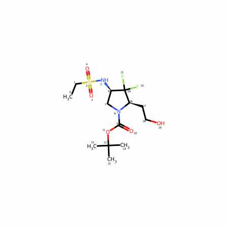 CCS(=O)(=O)N[C@@H]1CN(C(=O)OC(C)(C)C)[C@H](CCO)C1(F)F